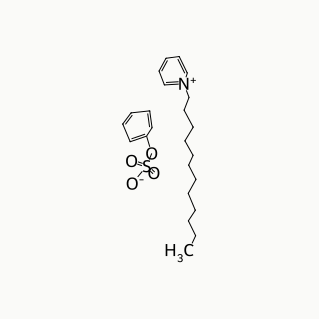 CCCCCCCCCCCC[n+]1ccccc1.O=S(=O)([O-])Oc1ccccc1